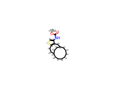 CC(C)(C)OC(=O)Nc1csc2c1CC1CCCCCCCC(CC2)CC1